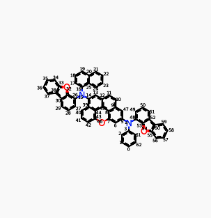 c1ccc(N(c2cc3c4c(ccc5cc(N(c6cccc7ccccc67)c6cccc7c6oc6ccccc67)c6cccc(c6c54)O3)c2)c2cccc3c2oc2ccccc23)cc1